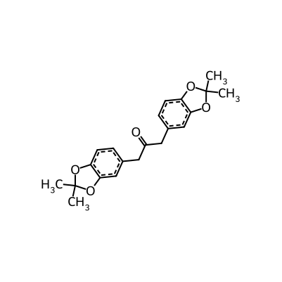 CC1(C)Oc2ccc(CC(=O)Cc3ccc4c(c3)OC(C)(C)O4)cc2O1